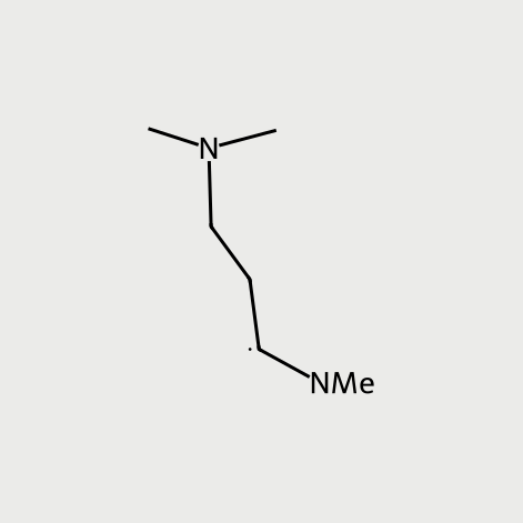 CN[CH]CCN(C)C